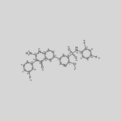 COc1ncc(-c2ccc3nc(N)n(-c4cccc(F)c4)c(=O)c3c2)cc1S(=O)(=O)Nc1ccc(F)cc1F